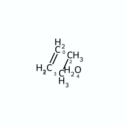 C=C.CC.O